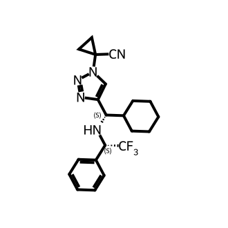 N#CC1(n2cc([C@@H](N[C@@H](c3ccccc3)C(F)(F)F)C3CCCCC3)nn2)CC1